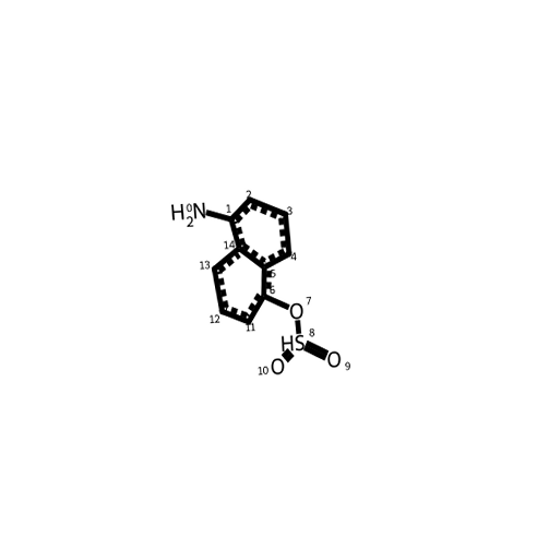 Nc1cccc2c(O[SH](=O)=O)cccc12